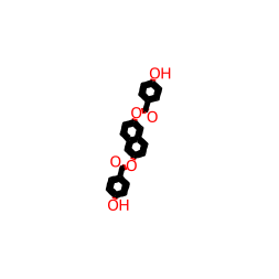 O=C(Oc1ccc2cc(OC(=O)c3ccc(O)cc3)ccc2c1)c1ccc(O)cc1